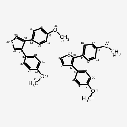 COc1ccc(-c2ccsc2-c2ccc(OC)cc2)cc1.COc1ccc(-c2cscc2-c2ccc(OC)cc2)cc1